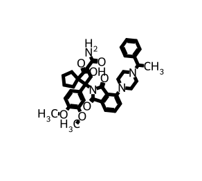 COc1ccc(C(CCC(N)=O)(N2C(=O)c3cccc(N4CCN(C(C)c5ccccc5)CC4)c3C2=O)C2(C(=O)O)CCCC2)cc1OC